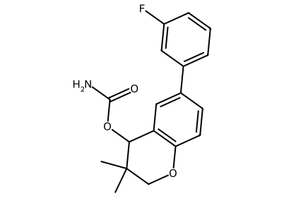 CC1(C)COc2ccc(-c3cccc(F)c3)cc2C1OC(N)=O